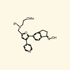 COCCN(Cc1cc(-c2ccncc2)c(-c2ccc3c(c2)CC/C3=N\O)o1)C(C)C